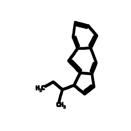 CCC(C)[C]1C=Cc2cc3ccccc3cc21